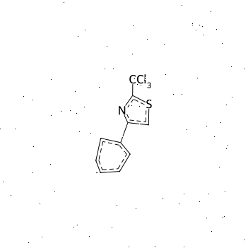 ClC(Cl)(Cl)c1nc(-c2cc[c]cc2)cs1